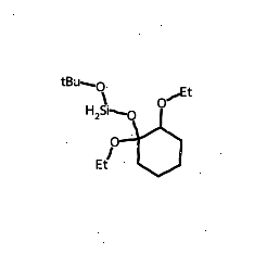 CCOC1CCCCC1(OCC)O[SiH2]OC(C)(C)C